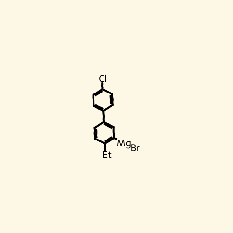 CCc1ccc(-c2ccc(Cl)cc2)c[c]1[Mg][Br]